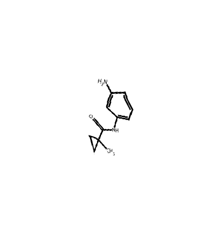 CC1(C(=O)Nc2cccc(N)c2)CC1